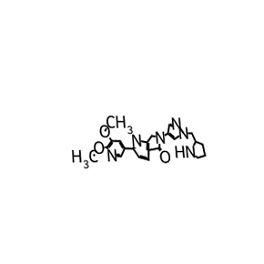 COc1cc(-c2ccc3c(n2)CN(c2cnn(CC4CCCN4)c2)C3=O)cnc1OC